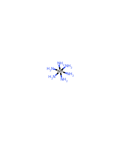 [NH2][Mn]([NH2])([NH2])([NH2])([NH2])[NH2]